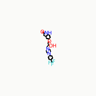 O=C1Cc2cc(OCC(O)CN3CCN(c4ccc(C(F)(F)F)cc4)CC3)ccc2N1